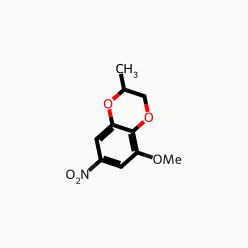 COc1cc([N+](=O)[O-])cc2c1OCC(C)O2